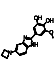 COc1cc(-c2nc3cc(N4CCC4)ccc3[nH]2)cc(O)c1O